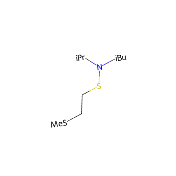 CCC(C)N(SCCSC)C(C)C